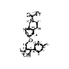 Cc1ccc(-c2noc(C)c2COc2cc3c(nn2)CN(C(=O)C(C)C)CC3)cn1